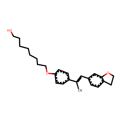 N#C/C(=C\c1ccc2c(c1)OCC2)c1ccc(OCCCCCCCCO)cc1